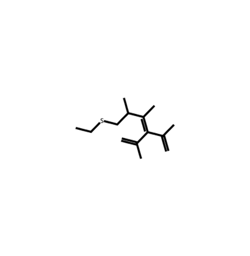 C=C(C)C(C(=C)C)=C(C)C(C)CSCC